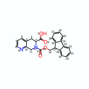 O=C(O)[C@@H]1Cc2cccnc2CN1C(=O)OCC1c2ccccc2-c2ccccc21